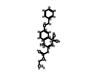 CCOC(=O)CC1=NS(=O)(=O)c2cc(OCc3ccccc3)ccc2N1